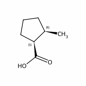 C[C@@H]1CCC[C@@H]1C(=O)O